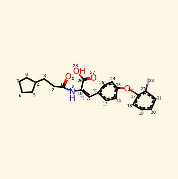 O=C(CCC1CCCC1)N/C(=C/c1ccc(Oc2ccccc2I)cc1)C(=O)O